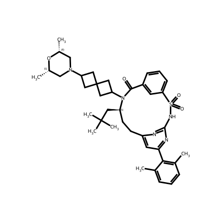 Cc1cccc(C)c1-c1cc2nc(n1)NS(=O)(=O)c1cccc(c1)C(=O)N(C1CC3(CC(N4C[C@@H](C)O[C@@H](C)C4)C3)C1)[C@H](CC(C)(C)C)CC2